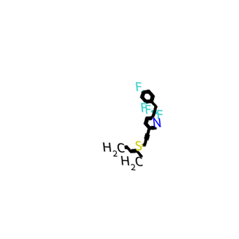 C=C/C=C(/C=C)SCC#Cc1ccc(C(F)(F)Cc2ccc(F)cc2F)nc1